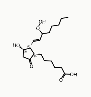 CCCCCC(C=C[C@H]1[C@H](O)CC(=O)[C@@H]1CCCCCC(=O)O)OO